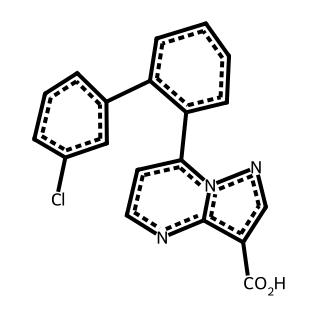 O=C(O)c1cnn2c(-c3ccccc3-c3cccc(Cl)c3)ccnc12